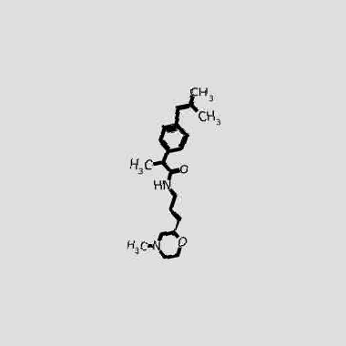 CC(C)Cc1ccc(C(C)C(=O)NCCC[C@@H]2CN(C)CCO2)cc1